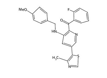 COc1ccc(CNc2cc(-c3scnc3C)cnc2C(=O)c2ccccc2F)cc1